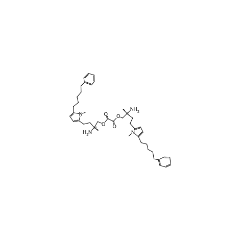 Cn1c(CCCCCc2ccccc2)ccc1CC[C@@](C)(N)COC(=O)C(=O)OC[C@](C)(N)CCc1ccc(CCCCCc2ccccc2)n1C